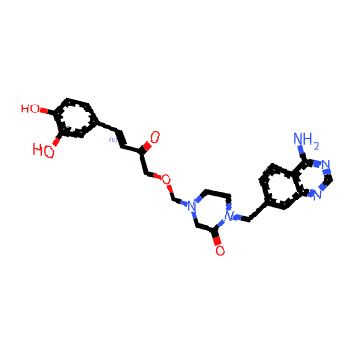 Nc1ncnc2cc(CN3CCN(COCC(=O)/C=C/c4ccc(O)c(O)c4)CC3=O)ccc12